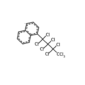 ClC(Cl)(Cl)C(Cl)(Cl)C(Cl)(Cl)C(Cl)(Cl)c1cc[c]c2ccccc12